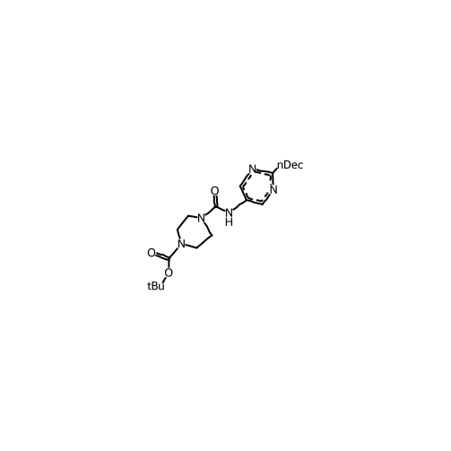 CCCCCCCCCCc1ncc(NC(=O)N2CCN(C(=O)OC(C)(C)C)CC2)cn1